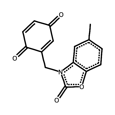 Cc1ccc2oc(=O)n(CC3=CC(=O)C=CC3=O)c2c1